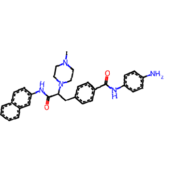 CN1CCN(C(Cc2ccc(C(=O)Nc3ccc(N)cc3)cc2)C(=O)Nc2ccc3ccccc3c2)CC1